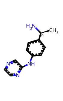 C[C@H](N)c1ccc(Nc2cnccn2)cc1